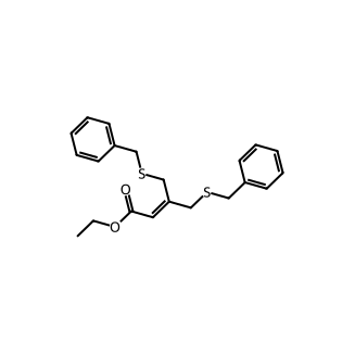 CCOC(=O)C=C(CSCc1ccccc1)CSCc1ccccc1